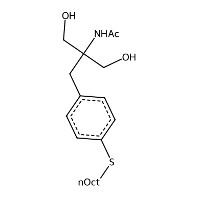 CCCCCCCCSc1ccc(CC(CO)(CO)NC(C)=O)cc1